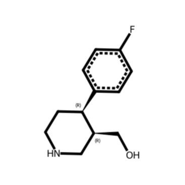 OC[C@H]1CNCC[C@H]1c1ccc(F)cc1